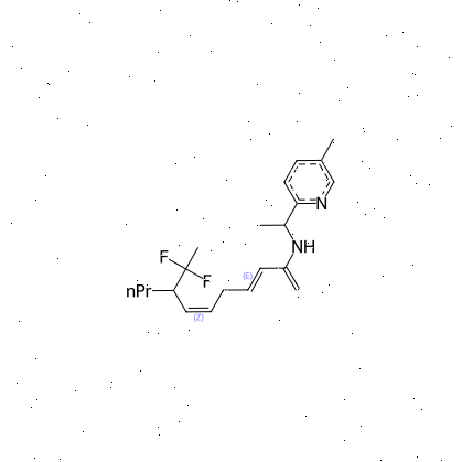 C=C(/C=C/C/C=C\C(CCC)C(C)(F)F)NC(C)c1ccc(C)cn1